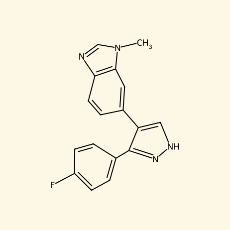 Cn1cnc2ccc(-c3c[nH]nc3-c3ccc(F)cc3)cc21